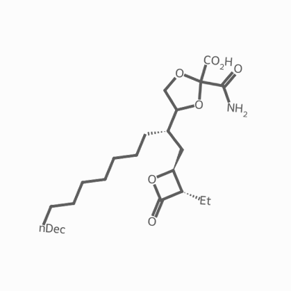 CCCCCCCCCCCCCCCCC[C@@H](C[C@@H]1OC(=O)[C@H]1CC)C1COC(C(N)=O)(C(=O)O)O1